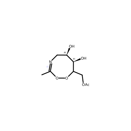 CC(=O)OCC1OO/C(C)=N\C[C@@H](O)[C@H]1O